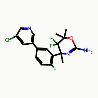 CC1(C)OC(N)=NC(C)(c2cc(-c3cncc(Cl)c3)ccc2F)C1(F)F